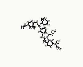 COCCn1c(Cc2ccc(-c3cccnc3OCc3ccc(C#N)cc3F)c(F)c2)nc2ccc(C(=O)OC)cc21